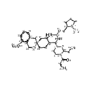 C=CC(=O)N1CCN(C2NC(OCC3CCCN3C)NC3C[C@]4(CCC32)Cc2cccc(OC)c2CO4)CC1CC#N